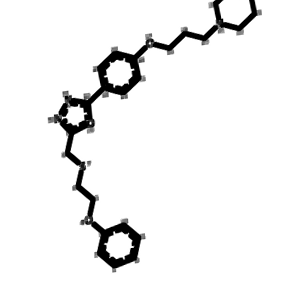 c1ccc(OCCSCc2nnc(-c3ccc(OCCCN4CCNCC4)cc3)o2)cc1